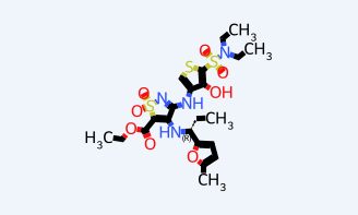 CCOC(=O)C1=C(N[C@H](CC)c2ccc(C)o2)C(Nc2csc(S(=O)(=O)N(CC)CC)c2O)=NS1(=O)=O